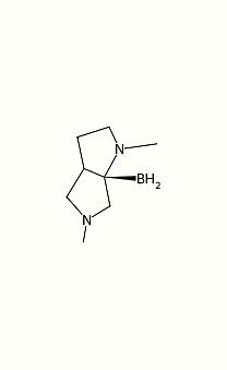 B[C@@]12CN(C)CC1CCN2C